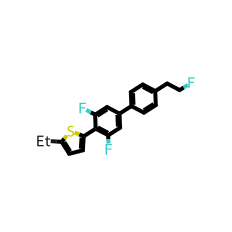 CCc1ccc(-c2c(F)cc(-c3ccc(CCF)cc3)cc2F)s1